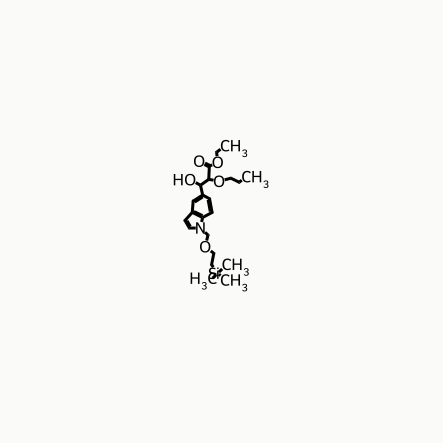 CCCOC(C(=O)OCC)C(O)c1ccc2c(ccn2COCC[Si](C)(C)C)c1